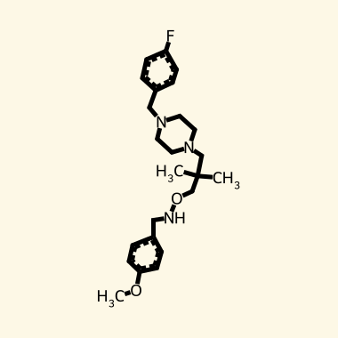 COc1ccc(CNOCC(C)(C)CN2CCN(Cc3ccc(F)cc3)CC2)cc1